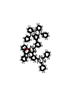 c1ccc(-c2cc(-c3cc(-c4nc(-c5ccccc5)nc(-c5ccccc5)n4)ccc3-n3c4ccccc4c4ccccc43)nc(-c3cccc(-c4cc5c6c(c4)N(c4ccccc4)c4ccccc4B6c4ccccc4N5c4ccccc4)c3)n2)cc1